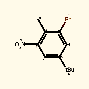 Cc1c(Br)cc(C(C)(C)C)cc1[N+](=O)[O-]